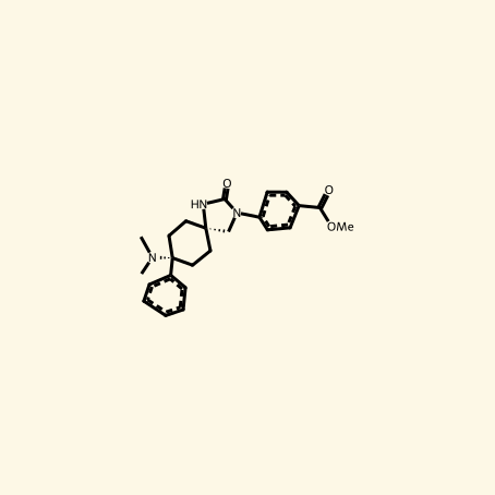 COC(=O)c1ccc(N2C[C@]3(CC[C@@](c4ccccc4)(N(C)C)CC3)NC2=O)cc1